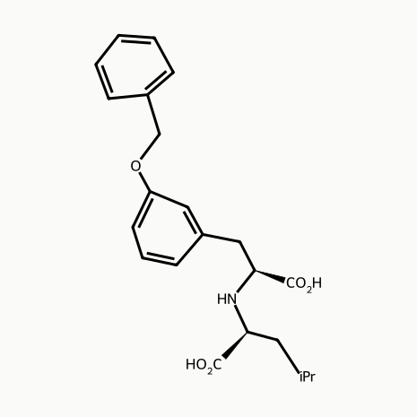 CC(C)C[C@H](N[C@@H](Cc1cccc(OCc2ccccc2)c1)C(=O)O)C(=O)O